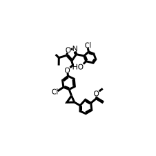 C=C(OC)c1cccc(C2CC2c2ccc(OCc3c(-c4c(O)cccc4Cl)noc3C(C)C)cc2Cl)c1